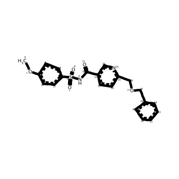 COc1ccc(S(=O)(=O)NC(=O)c2ccc(COCc3ccccc3)nc2)cc1